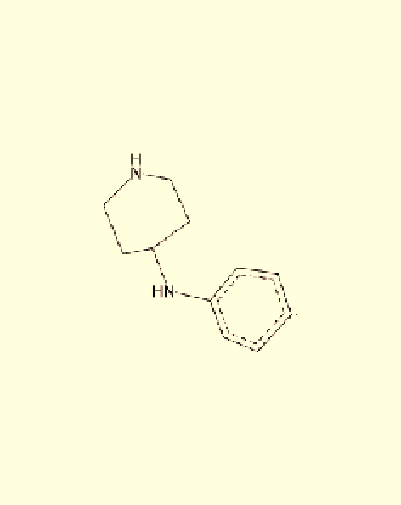 [c]1ccc(NC2CCNCC2)cc1